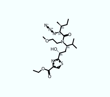 CCOC(=O)c1csc([C@H](O)C[C@H](C(C)C)N(CCOC)C(=O)[C@@H](N=[N+]=[N-])[C@@H](C)CC)n1